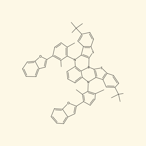 Cc1ccc(-c2cc3ccccc3o2)c(C)c1N1c2cccc3c2B(c2sc4ccc(C(C)(C)C)cc4c21)c1sc2ccc(C(C)(C)C)cc2c1N3c1c(C)ccc(-c2cc3ccccc3o2)c1C